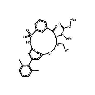 CCCCN(C(=O)OC(C)(C)C)N1C(=O)c2cccc(c2)S(=O)(=O)Nc2nc(cc(-c3c(C)cccc3C)n2)OC[C@H]1CC(C)C